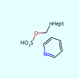 CCCCCCCCOS(=O)(=O)O.c1ccncc1